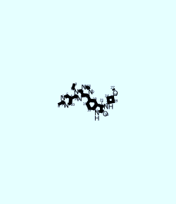 CCn1c(-c2cnc(C)nc2)nc2c(-c3ccc4c(c3)[C@@](C)(N[C@H]3C[C@H](OC)C3)C(=O)N4)ncnc21